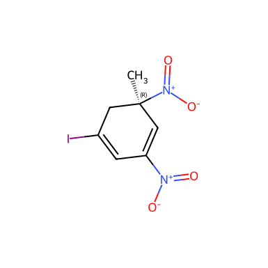 C[C@]1([N+](=O)[O-])C=C([N+](=O)[O-])C=C(I)C1